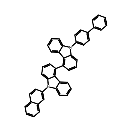 c1ccc(-c2ccc(-n3c4ccccc4c4c(-c5cccc6c5c5ccccc5n6-c5ccc6ccccc6c5)cccc43)cc2)cc1